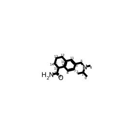 CC(C)N(C)Cc1ccc2c(c1)CC[C]C2C(N)=O